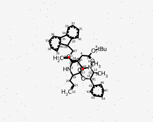 C=CCC(CC(=O)OC(C)(C)C)C(=O)N(C)[C@@H](C)[C@H](OC(=O)C(CC=C)NC(=O)OCC1c2ccccc2-c2ccccc21)c1ccccc1